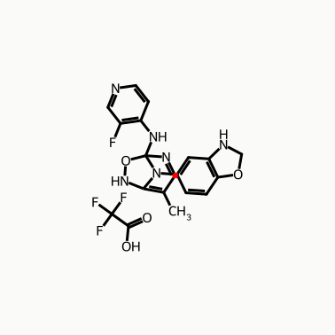 CC1=C2NOC(Nc3ccncc3F)(N=C1)N2c1ccc2c(c1)NCO2.O=C(O)C(F)(F)F